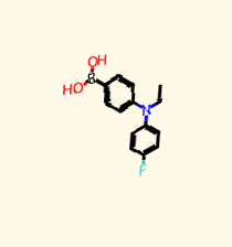 CCN(c1ccc(F)cc1)c1ccc(B(O)O)cc1